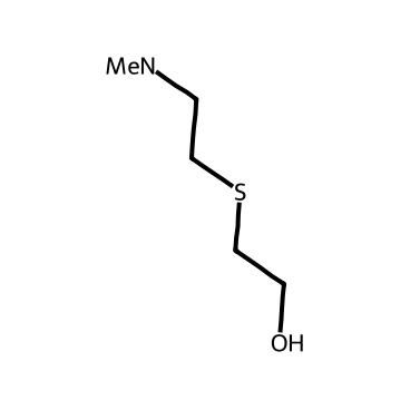 CNCCSCCO